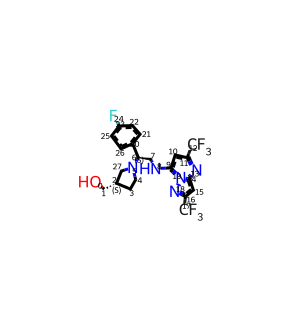 OC[C@H]1CCN([C@H](CNc2cc(C(F)(F)F)nc3cc(C(F)(F)F)nn23)c2ccc(F)cc2)C1